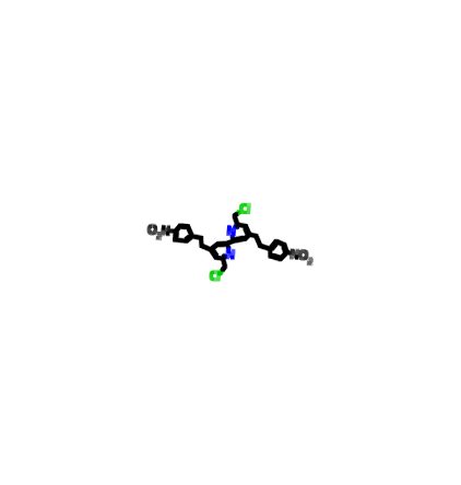 O=[N+]([O-])c1ccc(CCc2cc(CCl)nc(-c3cc(CCc4ccc([N+](=O)[O-])cc4)cc(CCl)n3)c2)cc1